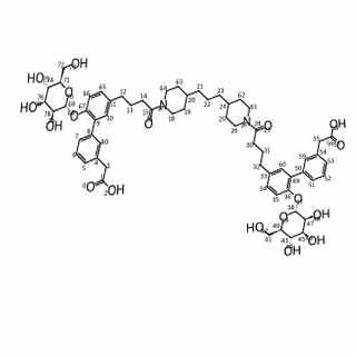 O=C(O)Cc1cccc(-c2cc(CCCC(=O)N3CCC(CCCC4CCN(C(=O)CCCc5ccc(O[C@H]6O[C@H](CO)[C@@H](O)[C@H](O)[C@@H]6O)c(-c6cccc(CC(=O)O)c6)c5)CC4)CC3)ccc2O[C@H]2O[C@H](CO)[C@@H](O)[C@H](O)[C@@H]2O)c1